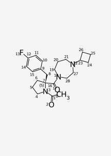 CC(=O)N1CCC[C@]1(Cc1ccc(F)cc1)C(=O)N1CCCN(C2CCC2)CC1